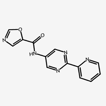 O=C(Nc1cnc(-c2ccccn2)nc1)c1cnco1